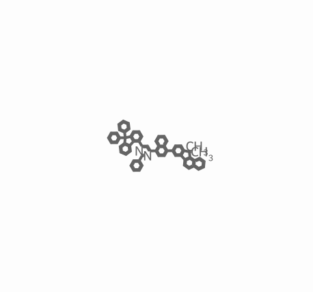 CC1(C)c2ccc(-c3ccc(-c4cc(-c5cccc6c5-c5ccccc5C6(c5ccccc5)c5ccccc5)nc(-c5ccccc5)n4)c4ccccc34)cc2-c2ccc3ccccc3c21